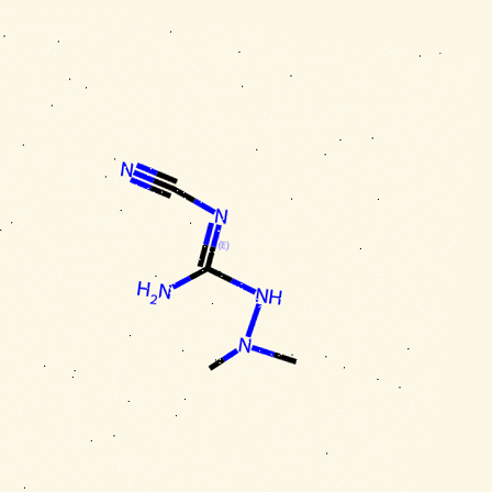 CN(C)N/C(N)=N/C#N